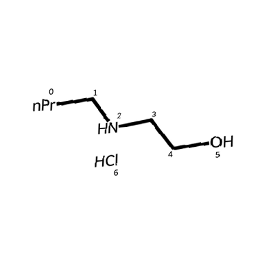 CCCCNCCO.Cl